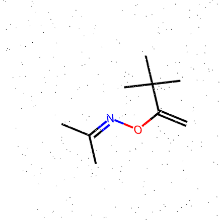 C=C(ON=C(C)C)C(C)(C)C